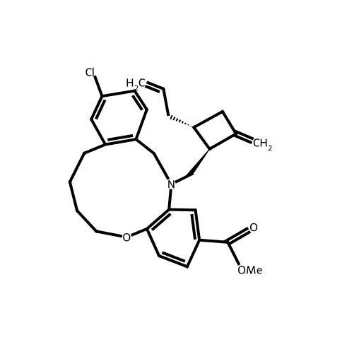 C=CC[C@@H]1CC(=C)[C@H]1CN1Cc2ccc(Cl)cc2CCCCOc2ccc(C(=O)OC)cc21